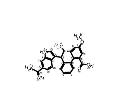 CCC(c1ccccc1-c1ccc(OC)cc1C(=O)O)c1c[nH]c2cc(C(=N)N)ccc12